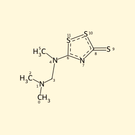 CN(C)CN(C)c1nc(=S)ss1